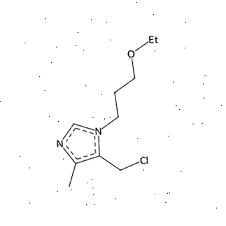 CCOCCCn1cnc(C)c1CCl